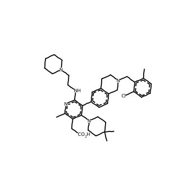 Cc1cccc(Cl)c1CN1CCc2cc(-c3c(NCCN4CCCCC4)nc(C)c(CC(=O)O)c3N3CCC(C)(C)CC3)ccc2C1